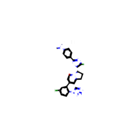 CN(C(=O)O)c1ccc(-c2nc(F)c([C@@H]3CCc4cc(-c5cc(Cl)ccc5-n5cnnn5)cc(=O)n43)[nH]2)cc1